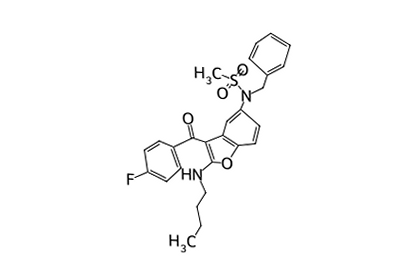 CCCCNc1oc2ccc(N(Cc3ccccc3)S(C)(=O)=O)cc2c1C(=O)c1ccc(F)cc1